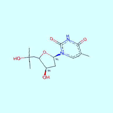 Cc1cn([C@H]2C[C@@H](O)C(C(C)(C)O)O2)c(=O)[nH]c1=O